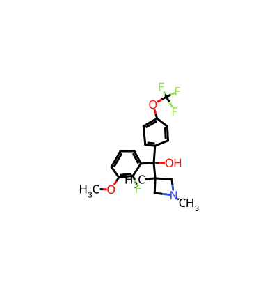 COc1cccc([C@](O)(c2ccc(OC(F)(F)F)cc2)C2(C)CN(C)C2)c1F